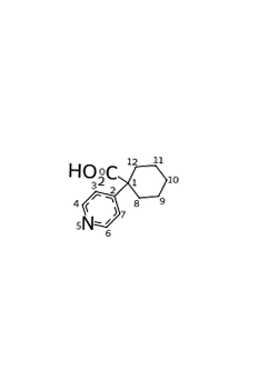 O=C(O)C1(c2ccncc2)CCCCC1